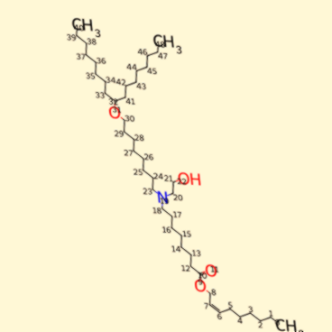 CCCCCC/C=C\COC(=O)CCCCCCCN(CCO)CCCCCCCCOC(CCCCCCCC)CCCCCCCC